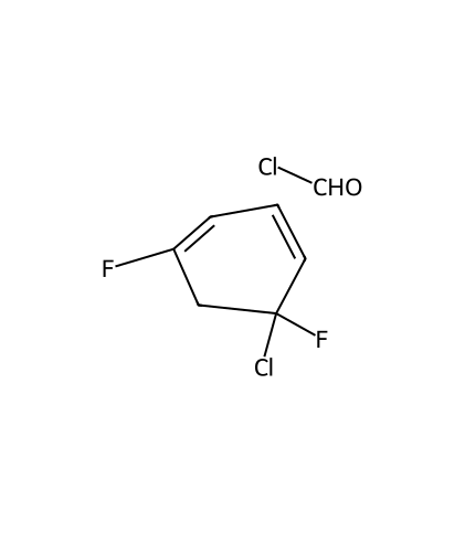 FC1=CC=CC(F)(Cl)C1.O=CCl